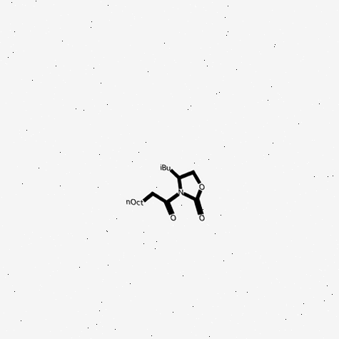 CCCCCCCCCC(=O)N1C(=O)OCC1C(C)CC